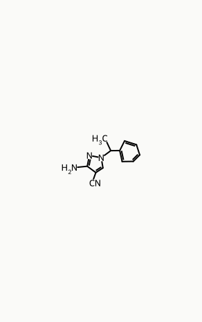 CC(c1ccccc1)n1cc(C#N)c(N)n1